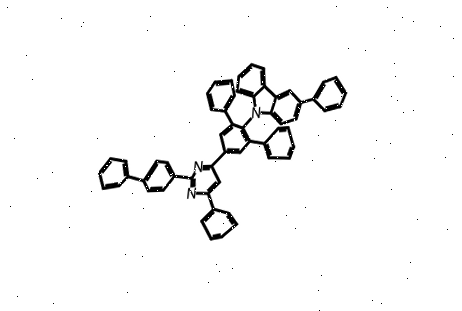 c1ccc(-c2ccc(-c3nc(-c4ccccc4)cc(-c4cc(-c5ccccc5)c(-n5c6ccccc6c6cc(-c7ccccc7)ccc65)c(-c5ccccc5)c4)n3)cc2)cc1